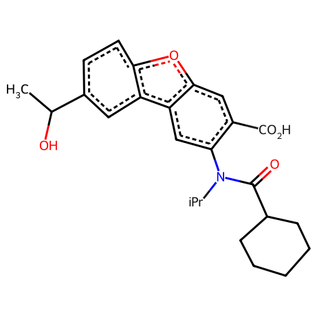 CC(O)c1ccc2oc3cc(C(=O)O)c(N(C(=O)C4CCCCC4)C(C)C)cc3c2c1